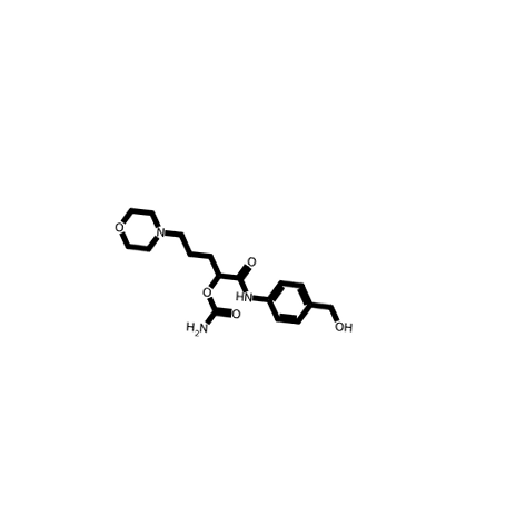 NC(=O)OC(CCCN1CCOCC1)C(=O)Nc1ccc(CO)cc1